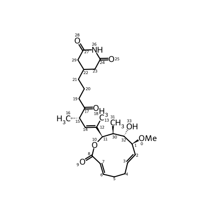 CO[C@H]1/C=C/CC/C=C/C(=O)O[C@@H](/C(C)=C/[C@H](C)C(=O)CCCC2CC(=O)NC(=O)C2)[C@@H](C)[C@@H]1O